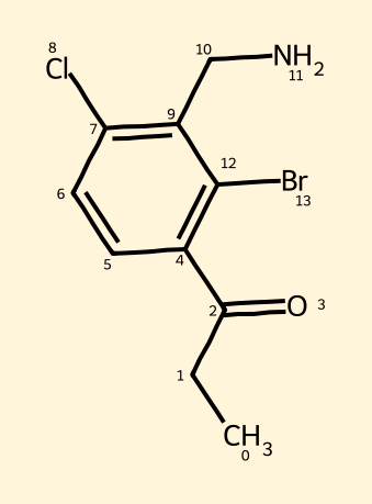 CCC(=O)c1ccc(Cl)c(CN)c1Br